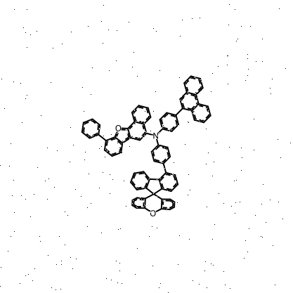 c1ccc(-c2cccc3c2oc2c4ccccc4c(N(c4ccc(-c5cccc6c5-c5ccccc5C65c6ccccc6Oc6ccccc65)cc4)c4ccc(-c5cc6ccccc6c6ccccc56)cc4)cc32)cc1